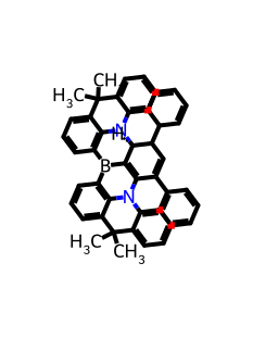 CC1(C)c2ccccc2N2C3=C4B(c5cccc1c52)c1cccc2c1N(c1ccccc1C2(C)C)[C@H]4C(C1C=CC=CC1)C=C3c1ccccc1